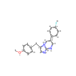 COc1ccc(Cc2cnc3ncc(-c4ccc(F)cc4)cn23)cc1